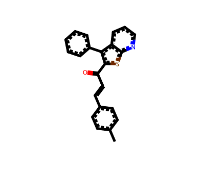 Cc1ccc(/C=C/C(=O)c2sc3ncccc3c2-c2ccccc2)cc1